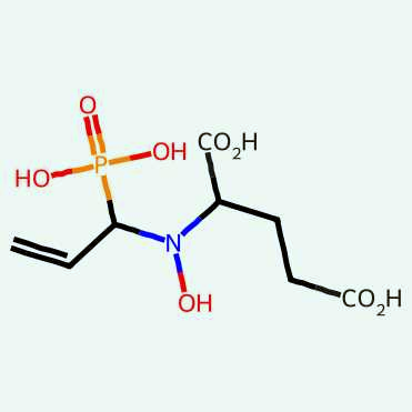 C=CC(N(O)C(CCC(=O)O)C(=O)O)P(=O)(O)O